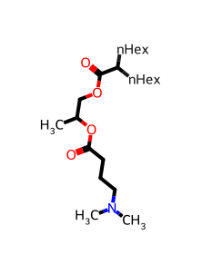 CCCCCCC(CCCCCC)C(=O)OCC(C)OC(=O)CCCN(C)C